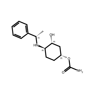 C[C@H](N[C@@H]1CC[C@@H](OC(N)=O)C[C@H]1O)c1ccccc1